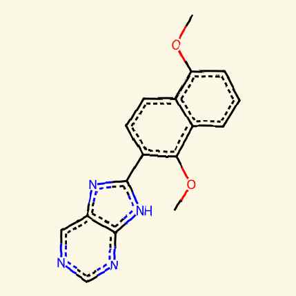 COc1cccc2c(OC)c(-c3nc4cncnc4[nH]3)ccc12